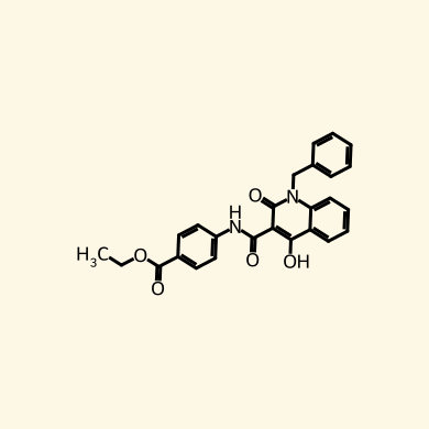 CCOC(=O)c1ccc(NC(=O)c2c(O)c3ccccc3n(Cc3ccccc3)c2=O)cc1